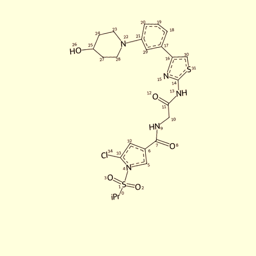 CC(C)S(=O)(=O)n1cc(C(=O)NCC(=O)Nc2nc(-c3cccc(N4CCC(O)CC4)c3)cs2)cc1Cl